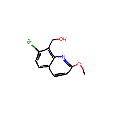 COc1ccc2ccc(Br)c(CO)c2n1